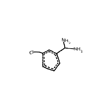 NC(N)c1cccc(Cl)c1